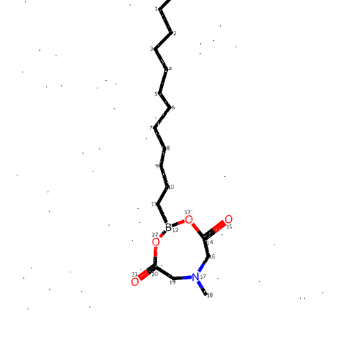 CCCCCCCCCCCCB1OC(=O)CN(C)CC(=O)O1